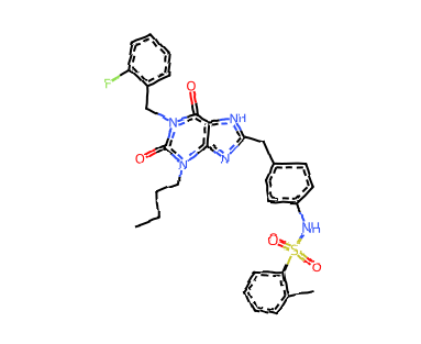 CCCCn1c(=O)n(Cc2ccccc2F)c(=O)c2[nH]c(Cc3ccc(NS(=O)(=O)c4ccccc4C)cc3)nc21